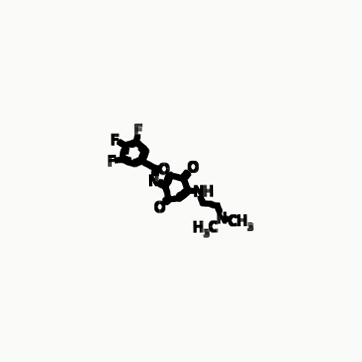 CN(C)CCNC1=CC(=O)c2nc(-c3cc(F)c(F)c(F)c3)oc2C1=O